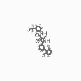 CCC(F)(F)c1cccc(NC(=O)c2c(C)[nH]c(-c3cccc(-c4c(C)cccc4C)c3)[n+]2[O-])c1